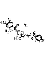 C[N+](C)(CCCNS(=O)(=O)c1ccc(Cl)cc1)CCNC(=O)c1nc(Cl)c(N)nc1N.[Br-]